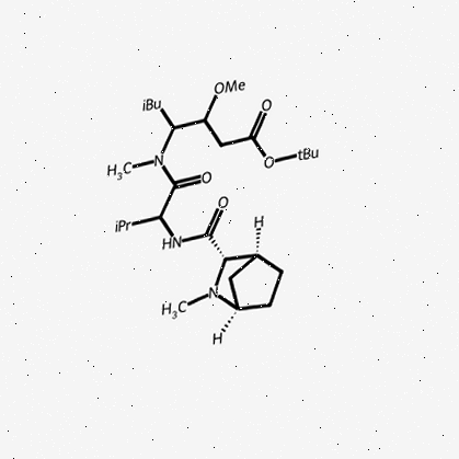 CCC(C)C(C(CC(=O)OC(C)(C)C)OC)N(C)C(=O)C(NC(=O)[C@@H]1[C@H]2CC[C@H](C2)N1C)C(C)C